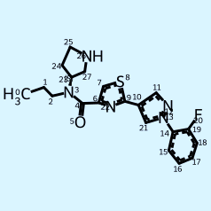 CCCN(C(=O)c1csc(-c2cnn(-c3ccccc3F)c2)n1)[C@H]1CCNC1